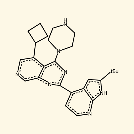 CC(C)(C)c1cc2c(-c3nc(N4CCNCC4)c4c(C5CCC5)cncc4n3)ccnc2[nH]1